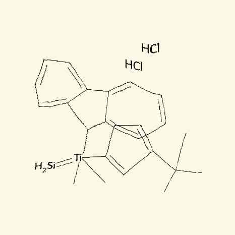 CC(C)(C)C1=CC[C]([Ti]([CH3])([CH3])(=[SiH2])[CH]2c3ccccc3-c3ccccc32)=C1.Cl.Cl